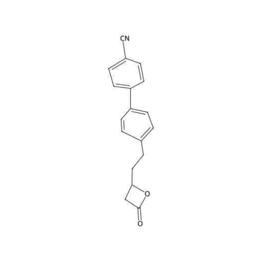 N#Cc1ccc(-c2ccc(CCC3CC(=O)O3)cc2)cc1